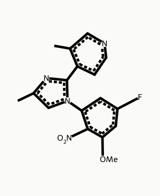 COc1cc(F)cc(-n2cc(C)nc2-c2ccncc2C)c1[N+](=O)[O-]